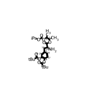 CC(C)OC(=O)OC(C)[C@H](C)OC(=O)[C@@H](N)Cc1ccc(OC(=O)C(C)(C)C)c(OC(=O)C(C)(C)C)c1